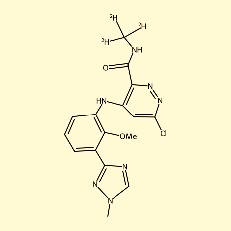 [2H]C([2H])([2H])NC(=O)c1nnc(Cl)cc1Nc1cccc(-c2ncn(C)n2)c1OC